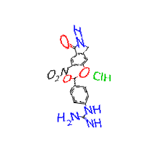 Cl.N=C(N)Nc1ccc(C(=O)Oc2cc3c(cc2[N+](=O)[O-])C(=O)NC3)cc1